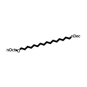 CCCCCCCCCCCCCCCCCCCCCCCCCCOCCCCCCCC